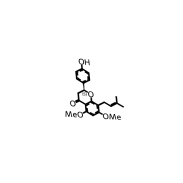 COc1cc(OC)c2c(c1CC=C(C)C)O[C@H](c1ccc(O)cc1)CC2=O